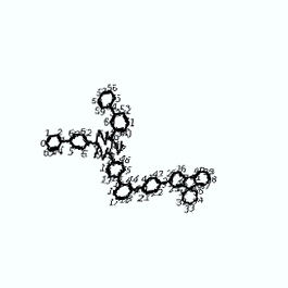 c1ccc(-c2ccc(-c3nc(-c4ccc(-c5cccc(-c6ccc(-c7ccc8c(c7)C7(CCCCC7)c7ccccc7-8)cc6)c5)cc4)nc(-c4cccc(-c5ccccc5)c4)n3)cc2)cc1